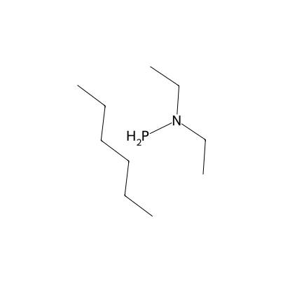 CCCCCC.CCN(P)CC